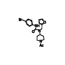 CC(=O)N1CCC(N(Cc2ccco2)C(=O)Nc2ccc(Br)cc2)CC1